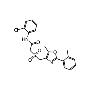 Cc1ccccc1-c1nc(CS(=O)(=O)CC(=O)Nc2ccccc2Cl)c(C)o1